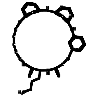 CSCCC1NC(=O)COc2cccc(c2)Nc2cc(ncn2)Nc2cccc(c2)OCCCCCNC1=O